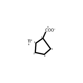 O=C([O-])C1CCCC1.[Tl+]